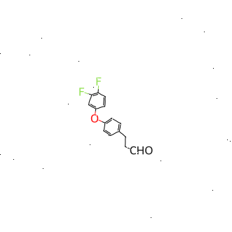 O=CCCc1ccc(Oc2ccc(F)c(F)c2)cc1